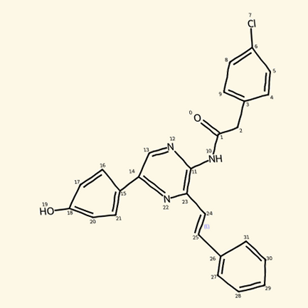 O=C(Cc1ccc(Cl)cc1)Nc1ncc(-c2ccc(O)cc2)nc1/C=C/c1ccccc1